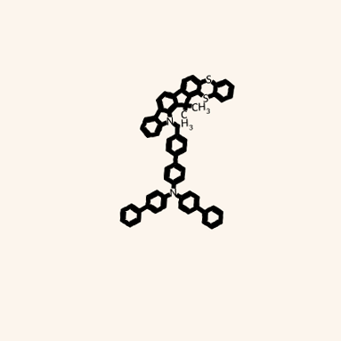 CC1(C)c2c(ccc3c2Sc2ccccc2S3)-c2ccc3c4ccccc4n(Cc4ccc(-c5ccc(N(c6ccc(-c7ccccc7)cc6)c6ccc(-c7ccccc7)cc6)cc5)cc4)c3c21